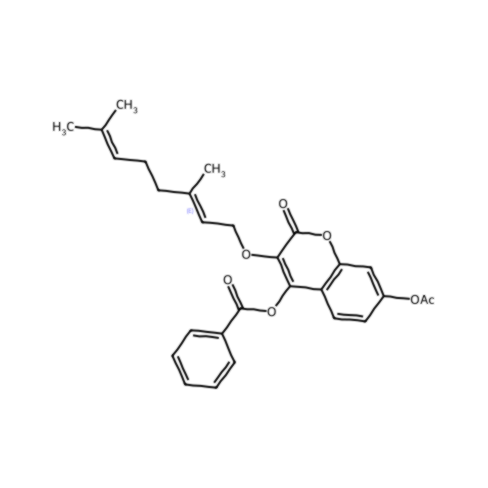 CC(=O)Oc1ccc2c(OC(=O)c3ccccc3)c(OC/C=C(\C)CCC=C(C)C)c(=O)oc2c1